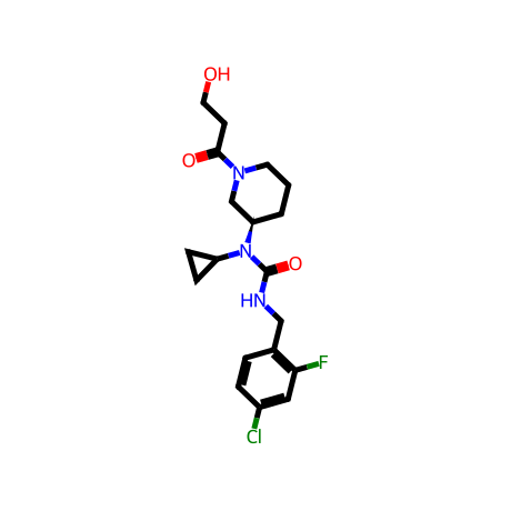 O=C(CCO)N1CCC[C@@H](N(C(=O)NCc2ccc(Cl)cc2F)C2CC2)C1